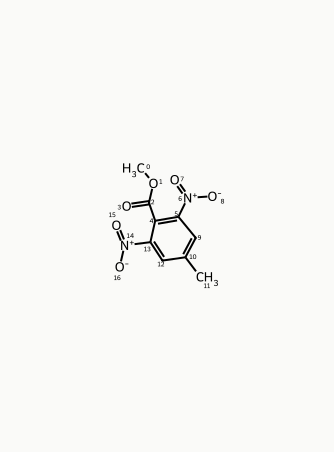 COC(=O)c1c([N+](=O)[O-])cc(C)cc1[N+](=O)[O-]